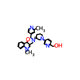 Cc1cc(CN(Cc2cn(C)c3ccccc3c2=O)[C@H]2CCCN(c3ccc(CO)nc3)C2)ccn1